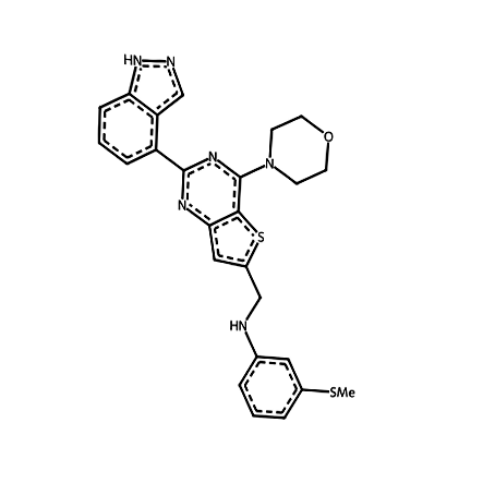 CSc1cccc(NCc2cc3nc(-c4cccc5[nH]ncc45)nc(N4CCOCC4)c3s2)c1